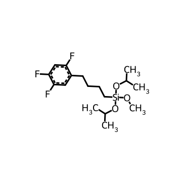 CO[Si](CCCCc1cc(F)c(F)cc1F)(OC(C)C)OC(C)C